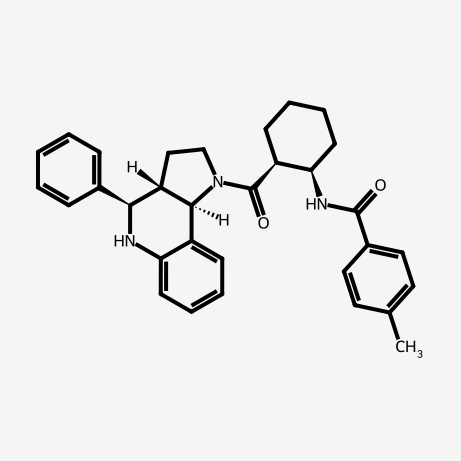 Cc1ccc(C(=O)N[C@@H]2CCCC[C@@H]2C(=O)N2CC[C@H]3[C@H](c4ccccc4)Nc4ccccc4[C@@H]32)cc1